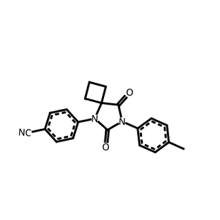 Cc1ccc(N2C(=O)N(c3ccc(C#N)cc3)C3(CCC3)C2=O)cc1